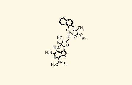 CC(C)OC(=O)[C@H](C)NP(=S)(OC[C@H]1O[C@@H](n2cnc3c(N(C)C)nc(N)nc32)[C@](C)(F)[C@@H]1O)Oc1cccc2ccccc12